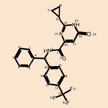 O=C(NC(c1ccccc1)c1ccc(C(F)(F)F)cc1)c1cc(=O)[nH]c(C2CC2)n1